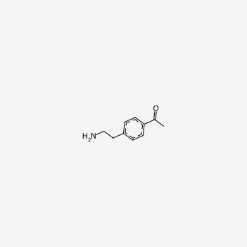 CC(=O)c1ccc(CCN)cc1